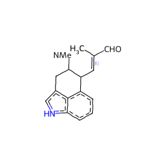 CNC1Cc2c[nH]c3cccc(c23)C1/C=C(\C)C=O